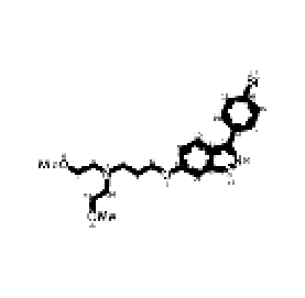 COCCN(CCCOc1ccc2c(-c3ccc(Br)cc3)nsc2c1)CCOC